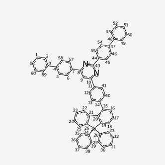 c1ccc(-c2ccc(-c3cc(-c4ccc(-c5cccc6c5-c5ccccc5C6(c5ccccc5)c5ccccc5)cc4)nc(-c4ccc(-c5ccccc5)cc4)n3)cc2)cc1